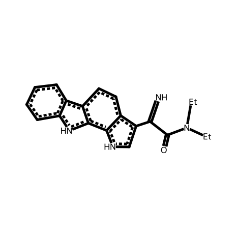 CCN(CC)C(=O)C(=N)c1c[nH]c2c1ccc1c3ccccc3[nH]c12